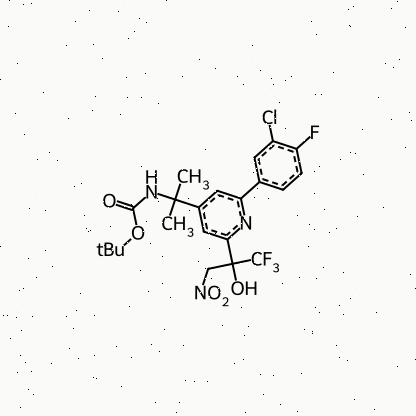 CC(C)(C)OC(=O)NC(C)(C)c1cc(-c2ccc(F)c(Cl)c2)nc(C(O)(C[N+](=O)[O-])C(F)(F)F)c1